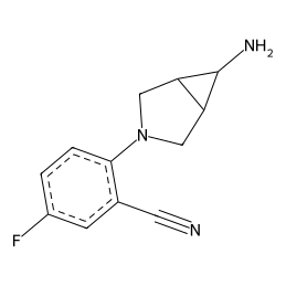 N#Cc1cc(F)ccc1N1CC2C(N)C2C1